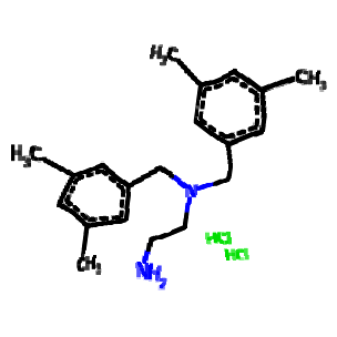 Cc1cc(C)cc(CN(CCN)Cc2cc(C)cc(C)c2)c1.Cl.Cl